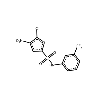 O=[N+]([O-])c1cc(S(=O)(=O)Nc2cccc(C(F)(F)F)c2)sc1Cl